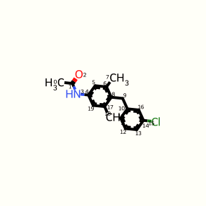 CC(=O)Nc1cc(C)c(Cc2cccc(Cl)c2)c(C)c1